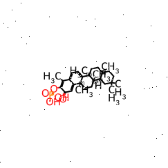 CC1=C(OP(=O)(O)O)C(=O)C=C2C1=CC=C1[C@@]2(C)CC[C@@]2(C)[C@@H]3CC(C)(C)CC[C@@]3(C)CC[C@]12C